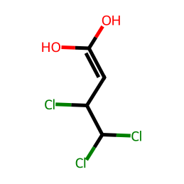 OC(O)=CC(Cl)C(Cl)Cl